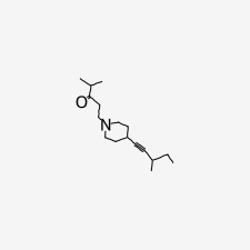 CCC(C)C#CC1CCN(CCC(=O)C(C)C)CC1